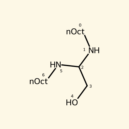 CCCCCCCCNC(CO)NCCCCCCCC